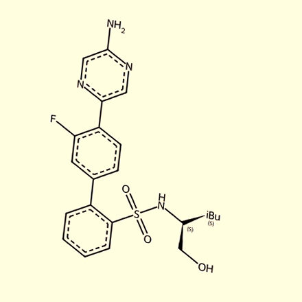 CC[C@H](C)[C@@H](CO)NS(=O)(=O)c1ccccc1-c1ccc(-c2cnc(N)cn2)c(F)c1